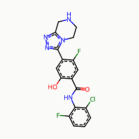 O=C(Nc1c(F)cccc1Cl)c1cc(F)c(-c2nnc3n2CCNC3)cc1O